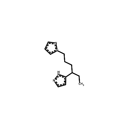 CCC(CCCn1cccn1)c1ccn[nH]1